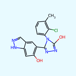 Cc1cccc(-n2c(O)nnc2-c2cc3cn[nH]c3cc2O)c1Cl